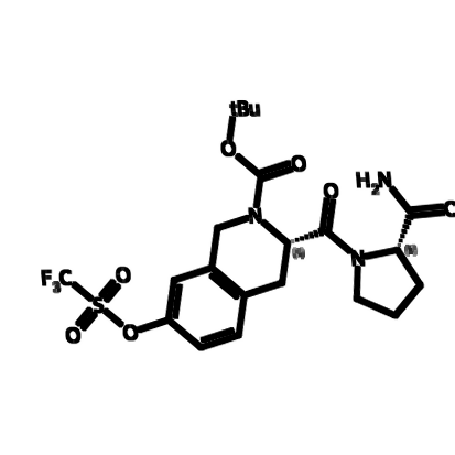 CC(C)(C)OC(=O)N1Cc2cc(OS(=O)(=O)C(F)(F)F)ccc2C[C@H]1C(=O)N1CCC[C@H]1C(N)=O